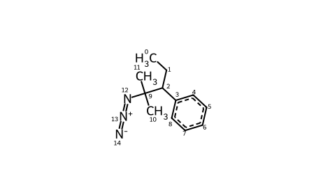 CCC(c1ccccc1)C(C)(C)N=[N+]=[N-]